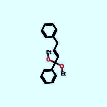 CCOC(C=CCc1ccccc1)(OCC)c1ccccc1